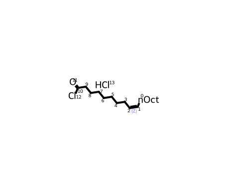 CCCCCCCC/C=C\CCCCCCCC(=O)Cl.Cl